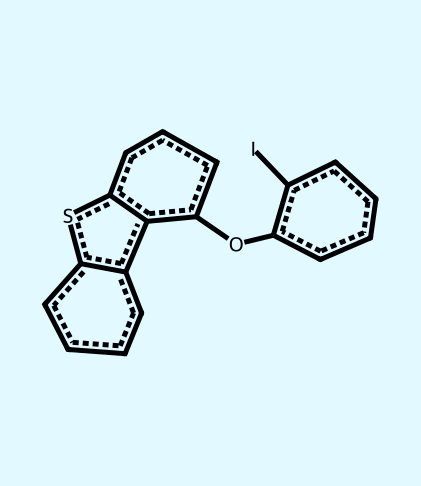 Ic1ccccc1Oc1cccc2sc3ccccc3c12